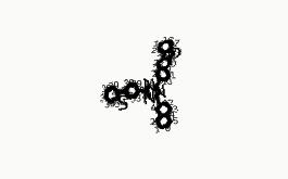 c1ccc2cc(-c3nc(-c4ccc5cc6oc7ccccc7c6cc5c4)nc(-c4ccc5c(c4)sc4ccccc45)n3)ccc2c1